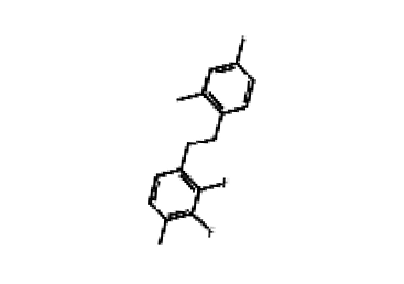 Cc1ccc(CCc2ccc(C)c(F)c2F)c(C)c1